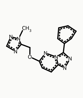 Cn1ncnc1COc1ccc2nnc(-c3ccccc3)n2n1